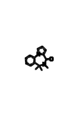 CN1C(=O)c2cccn2-c2ccccc2C1(C)C